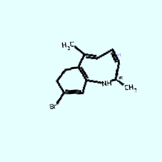 C/C1=C\C=C/[C@@H](C)NC2=C1CCC(Br)=C2